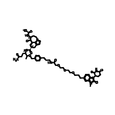 CC(OCc1ccc(CCCNC(=O)COCCOCCOCCCc2ccc3c(c2)n(C)c(=O)n3C2CCC(=O)NC2=O)cc1)C(CCC(N)=O)NC(=O)[C@@H]1C=C2C(=O)[C@@H](NC(=O)O)CCn3ccc(c32)C1